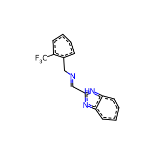 FC(F)(F)c1ccccc1C/N=C/c1nc2ccccc2[nH]1